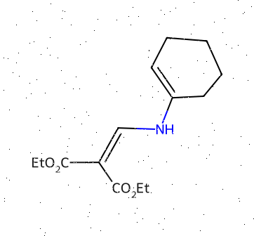 CCOC(=O)C(=CNC1=CCCCC1)C(=O)OCC